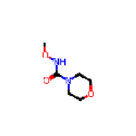 CONC(=O)N1CCOCC1